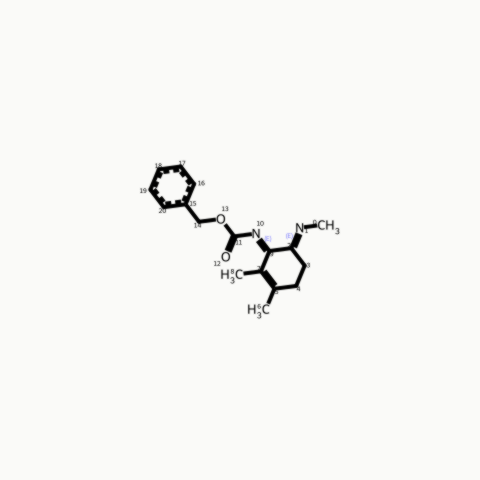 C/N=C1\CCC(C)=C(C)\C1=N/C(=O)OCc1ccccc1